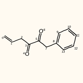 C=CCC(=O)C(=O)Cc1ccccc1